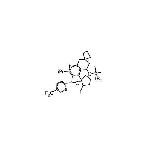 CC(C)c1nc2c(c3c1[C@@H](c1ccc(C(F)(F)F)cc1)OC31CCCC1I)C(O[Si](C)(C)C(C)(C)C)CC1(CCC1)C2